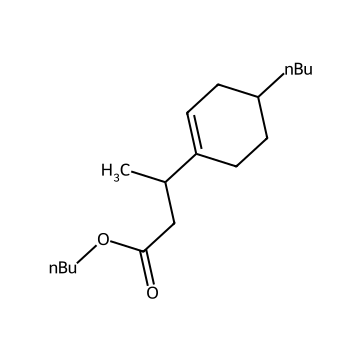 CCCCOC(=O)CC(C)C1=CCC(CCCC)CC1